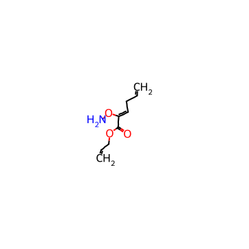 C=CCC=C(ON)C(=O)OCC=C